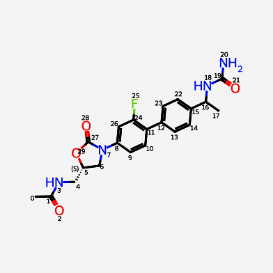 CC(=O)NC[C@H]1CN(c2ccc(-c3ccc(C(C)NC(N)=O)cc3)c(F)c2)C(=O)O1